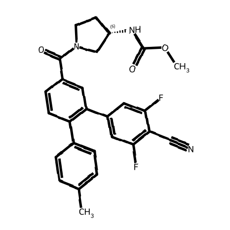 COC(=O)N[C@H]1CCN(C(=O)c2ccc(-c3ccc(C)cc3)c(-c3cc(F)c(C#N)c(F)c3)c2)C1